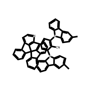 Cc1ccc2c(c1)c1ccccc1n2-c1cc(-c2nccc3c2C2(c4ccccc4-c4ccccc42)c2ccccc2-3)cc(-n2c3ccccc3c3cc(C)ccc32)c1C#N